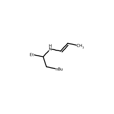 CC=CNC(CC)CCCCC